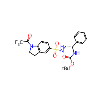 CC(C)(C)OC(=O)N[C@H](CNS(=O)(=O)c1ccc2c(c1)CCN2C(=O)C(F)(F)F)c1ccccc1